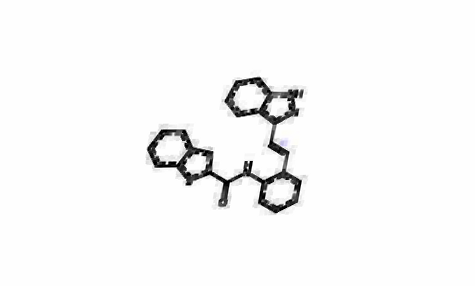 O=C(Nc1ccccc1/C=C/c1n[nH]c2ccccc12)c1cc2ccccc2s1